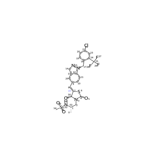 C[C@@H](CN1C(=O)S/C(=C\c2ccc3c(cnn3Cc3ccc(Cl)cc3C(F)(F)F)c2)C1=O)NS(C)(=O)=O